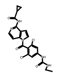 CCNC(=O)Nc1cc(Cl)c(C(=O)n2ccc3c(NC(=O)C4CC4)nccc32)c(Cl)c1